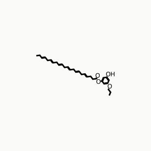 CCC=CCC=CCC=CCC=CCC=CCC=CCCC(=O)Oc1cc(O)cc(OCCC)c1